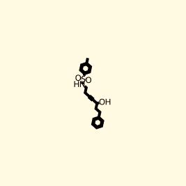 Cc1ccc(S(=O)(=O)NCCC#CC(O)CCc2ccccc2)cc1